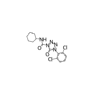 O=C(NC1CCCCC1)n1nnn(-c2c(Cl)cccc2Cl)c1=O